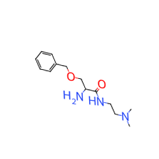 CN(C)CCNC(=O)C(N)COCc1ccccc1